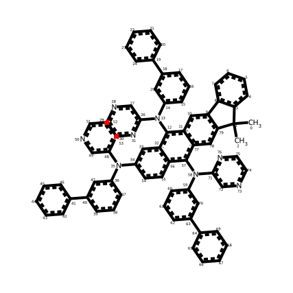 CC1(C)c2ccccc2-c2cc3c(N(c4cccc(-c5ccccc5)c4)c4cnccn4)c4cc(N(c5cccc(-c6ccccc6)c5)c5cnccn5)ccc4c(N(c4cccc(-c5ccccc5)c4)c4cnccn4)c3cc21